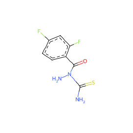 NC(=S)N(N)C(=O)c1ccc(F)cc1F